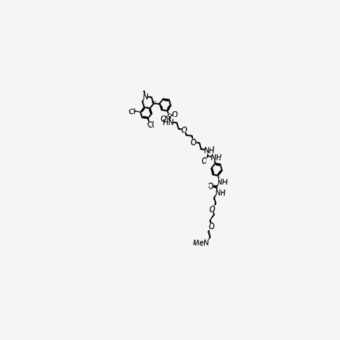 CNCCOCCOCCNC(=O)Nc1ccc(NC(=O)NCCOCCOCCNS(=O)(=O)c2cccc([C@@H]3CN(C)Cc4c(Cl)cc(Cl)cc43)c2)cc1